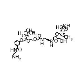 CSS[C@@H](COP(=O)(O)O)O[C@@H]1C[C@H](BC#CCNC(=O)COCCOC(COc2cccc(C(=O)NCCN)c2)SSC(C)(C)C)OC1CO